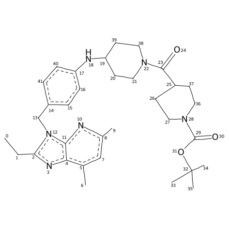 CCc1nc2c(C)cc(C)nc2n1Cc1ccc(NC2CCN(C(=O)C3CCN(C(=O)OC(C)(C)C)CC3)CC2)cc1